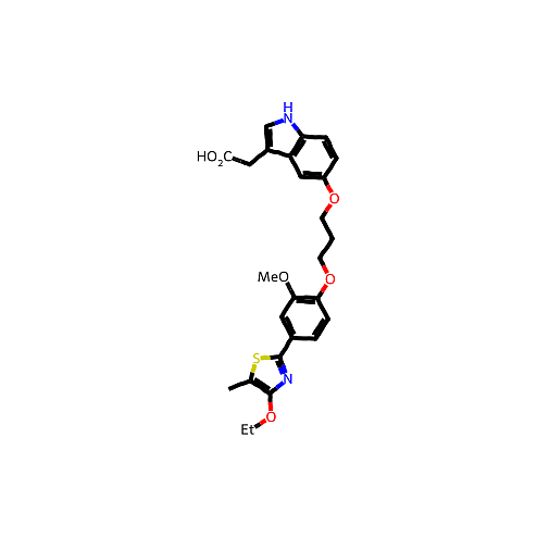 CCOc1nc(-c2ccc(OCCCOc3ccc4[nH]cc(CC(=O)O)c4c3)c(OC)c2)sc1C